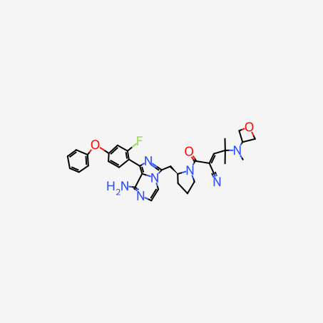 CN(C1COC1)C(C)(C)C=C(C#N)C(=O)N1CCC[C@H]1Cc1nc(-c2ccc(Oc3ccccc3)cc2F)c2c(N)nccn12